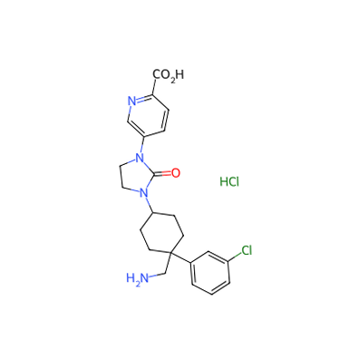 Cl.NCC1(c2cccc(Cl)c2)CCC(N2CCN(c3ccc(C(=O)O)nc3)C2=O)CC1